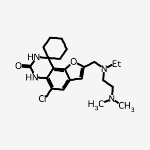 CCN(CCN(C)C)Cc1cc2cc(Cl)c3c(c2o1)C1(CCCCC1)NC(=O)N3